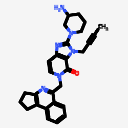 CC#CCn1c(N2CCCC(N)C2)nc2ccn(Cc3nc4c(c5ccccc35)CCC4)c(=O)c21